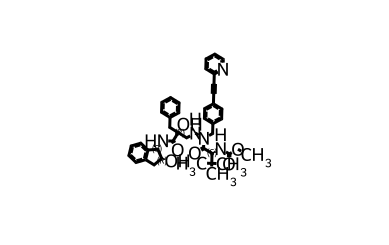 COC(=O)N[C@H](C(=O)N(Cc1ccc(C#Cc2ccccn2)cc1)NC[C@](O)(Cc1ccccc1)C(=O)N[C@H]1c2ccccc2C[C@H]1O)C(C)(C)C